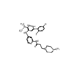 CN1CCN(CCC(=O)Nc2cc(NC3=C(N(C)C)NNC(c4cc(Cl)ccc4F)=C3)ccn2)CC1